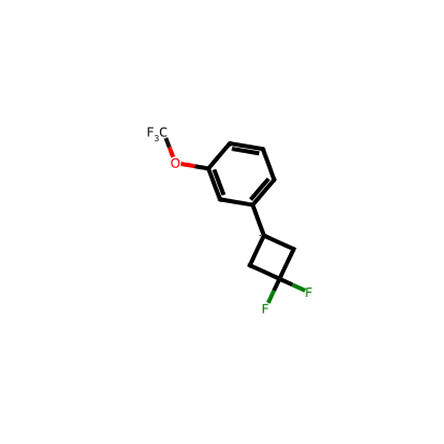 FC1(F)C[C](c2cccc(OC(F)(F)F)c2)C1